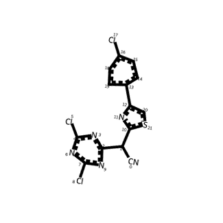 N#CC(c1nc(Cl)nc(Cl)n1)c1nc(-c2ccc(Cl)cc2)cs1